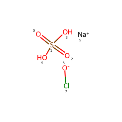 O=S(=O)(O)O.[Na+].[O-]Cl